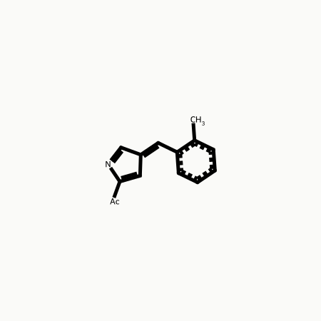 CC(=O)C1=C/C(=C\c2ccccc2C)C=N1